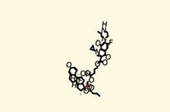 CCCC(=O)O[C@@]1(C(=O)COC(=O)CCCOC(=O)c2cn(C3CC3)c3c(OC)c(N4CCNC(C)C4)c(F)cc3c2=O)[C@H](C)C[C@@H]2[C@H]3CCC4=CC(=O)C=C[C@@]4(C)[C@]3(F)[C@H](O)C[C@]21C